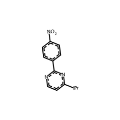 CC(C)c1ccnc(-c2ccc([N+](=O)[O-])cc2)n1